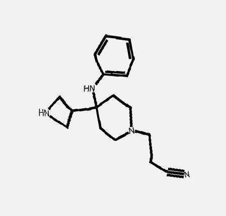 N#CCCN1CCC(Nc2ccccc2)(C2CNC2)CC1